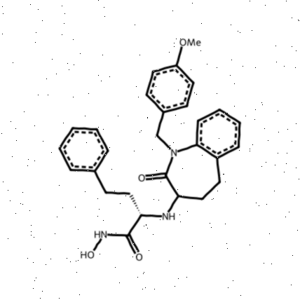 COc1ccc(CN2C(=O)C(N[C@@H](CCc3ccccc3)C(=O)NO)CCc3ccccc32)cc1